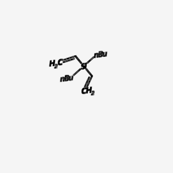 C=C[Si](C=C)(CCCC)CCCC